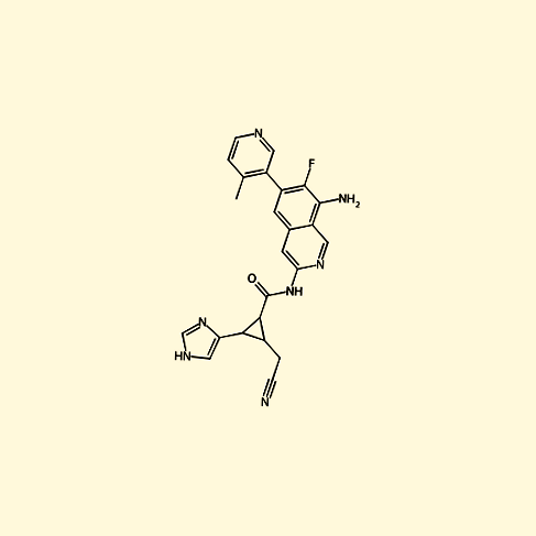 Cc1ccncc1-c1cc2cc(NC(=O)C3C(CC#N)C3c3c[nH]cn3)ncc2c(N)c1F